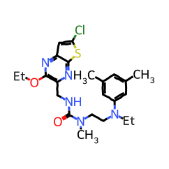 CCOc1nc2cc(Cl)sc2nc1CNC(=O)N(C)CCN(CC)c1cc(C)cc(C)c1